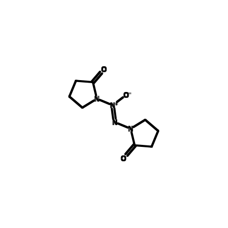 O=C1CCCN1N=[N+]([O-])N1CCCC1=O